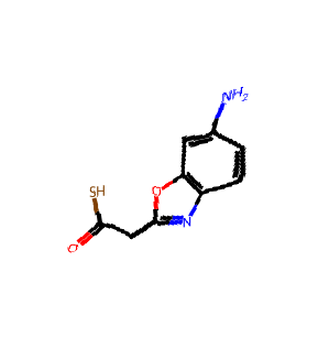 Nc1ccc2nc(CC(=O)S)oc2c1